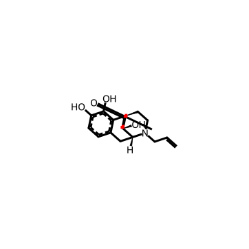 C=CCN1CC[C@]23CC(=O)CC[C@@]2(O)[C@H]1Cc1ccc(O)c(O)c13